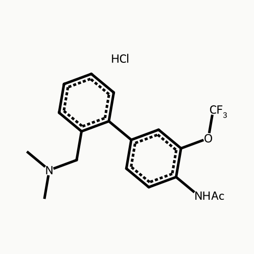 CC(=O)Nc1ccc(-c2ccccc2CN(C)C)cc1OC(F)(F)F.Cl